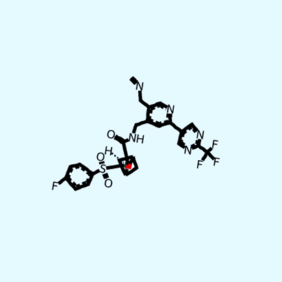 C=NCc1cnc(-c2cnc(C(F)(F)F)nc2)cc1CNC(=O)[C@@H]1C2CC(C2)N1S(=O)(=O)c1ccc(F)cc1